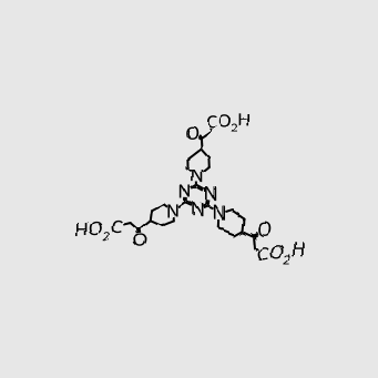 O=C(O)CC(=O)C1CCN(c2nc(N3CCC(C(=O)CC(=O)O)CC3)nc(N3CCC(C(=O)CC(=O)O)CC3)n2)CC1